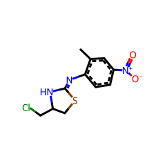 Cc1cc([N+](=O)[O-])ccc1/N=C1/NC(CCl)CS1